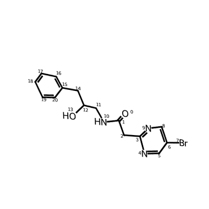 O=C(Cc1ncc(Br)cn1)NCC(O)Cc1ccccc1